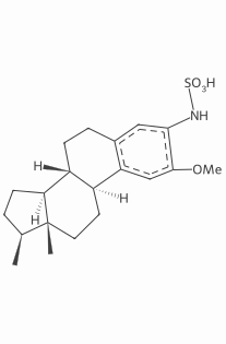 COc1cc2c(cc1NS(=O)(=O)O)CC[C@@H]1[C@@H]2CC[C@]2(C)[C@@H](C)CC[C@@H]12